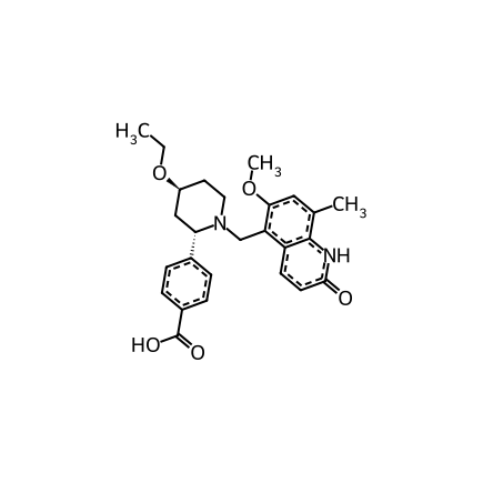 CCO[C@H]1CCN(Cc2c(OC)cc(C)c3[nH]c(=O)ccc23)[C@H](c2ccc(C(=O)O)cc2)C1